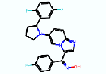 O/N=C(/c1ccc(F)cc1)c1cnc2ccc(N3CCCC3c3cc(F)ccc3F)cn12